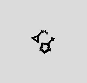 Brc1cscn1.NC1CC1